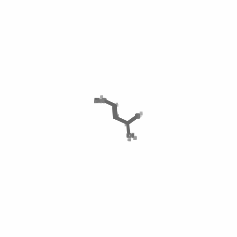 COC=CC(C)[O]